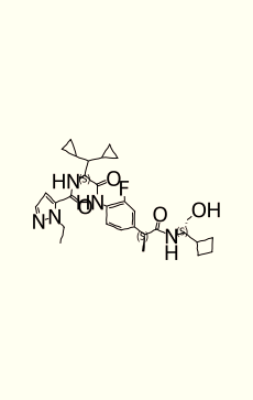 CCn1nccc1C(=O)N[C@H](C(=O)Nc1ccc([C@H](C)C(=O)N[C@H](CO)C2CCC2)cc1F)C(C1CC1)C1CC1